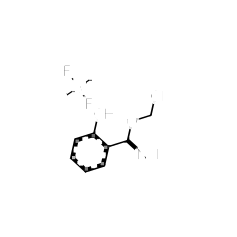 CCOC(=N)c1ccccc1C.F[B-](F)(F)F